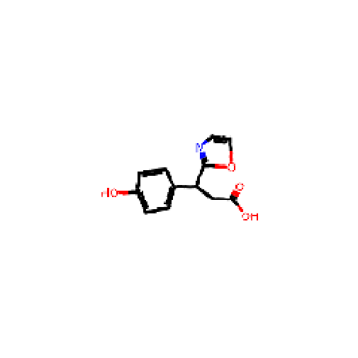 O=C(O)CC(c1ccc(O)cc1)c1ncco1